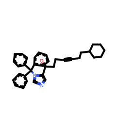 O=C(CCC#CCCC1CCCCC1)c1cncn1C(c1ccccc1)(c1ccccc1)c1ccccc1